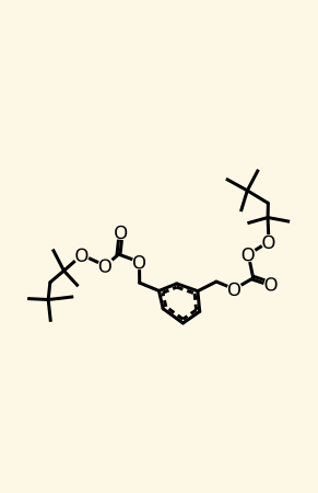 CC(C)(C)CC(C)(C)OOC(=O)OCc1cccc(COC(=O)OOC(C)(C)CC(C)(C)C)c1